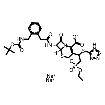 CCOP(=O)([O-])CC(Sc1nnn[nH]1)C1=C(C(=O)[O-])N2C(=O)[C@@H](NC(=O)Cc3ccccc3CNC(=O)OC(C)(C)C)[C@@H]2SC1.[Na+].[Na+]